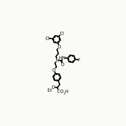 CCOC(Cc1ccc(OCCN(CCCOc2cc(Cl)cc(Cl)c2)C(=O)Nc2ccc(F)cc2)cc1)C(=O)O